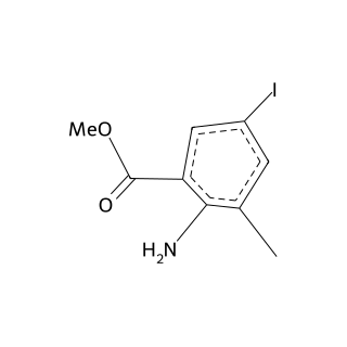 COC(=O)c1cc(I)cc(C)c1N